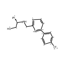 CC(C)[C@H](CO)NCc1nccc(-c2ccc(C(F)(F)F)cc2)n1